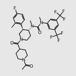 CC(=O)N1CCC(C(=O)N2CC[C@@H](N(C)C(=O)N(C)c3cc(C(F)(F)F)cc(C(F)(F)F)c3)[C@H](c3ccc(F)cc3C)C2)CC1